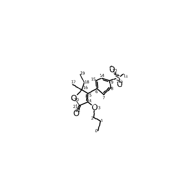 CCCOC1=C(c2ccc(S(C)(=O)=O)cc2)C(C)(CC)OC1=O